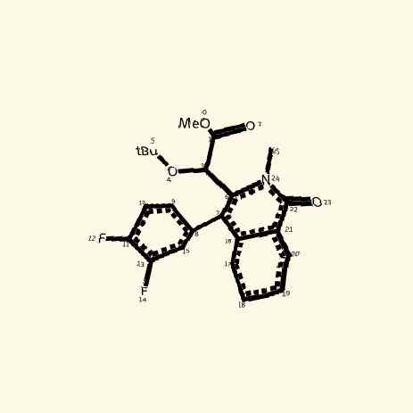 COC(=O)C(OC(C)(C)C)c1c(-c2ccc(F)c(F)c2)c2ccccc2c(=O)n1C